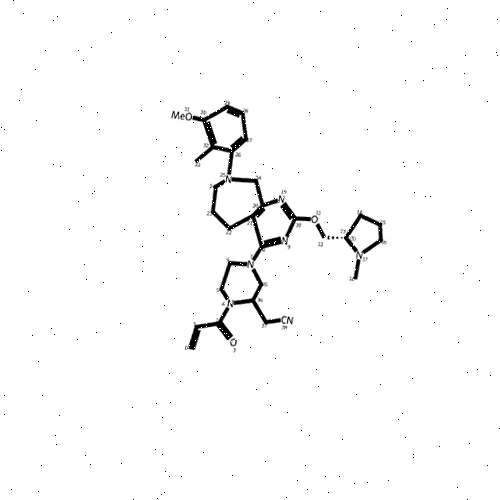 C=CC(=O)N1CCN(c2nc(OC[C@@H]3CCCN3C)nc3c2CCCN(c2cccc(OC)c2C)C3)CC1CC#N